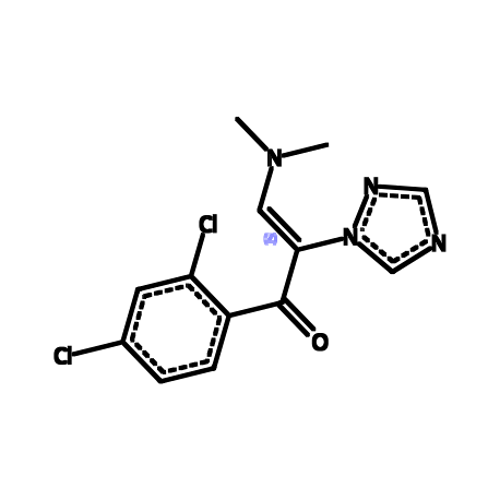 CN(C)/C=C(/C(=O)c1ccc(Cl)cc1Cl)n1cncn1